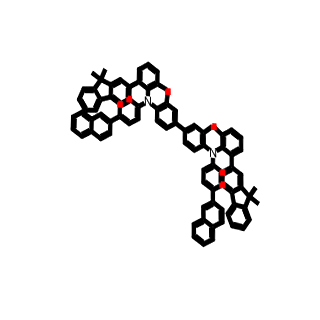 Cc1cc(-c2ccc(N(c3ccc(-c4ccc5ccccc5c4)cc3)c3c(C)cccc3-c3ccc4c(c3)C(C)(C)c3ccccc3-4)c(C)c2)ccc1N(c1ccc(-c2ccc3ccccc3c2)cc1)c1c(C)cccc1-c1ccc2c(c1)C(C)(C)c1ccccc1-2